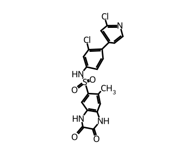 Cc1cc2[nH]c(=O)c(=O)[nH]c2cc1S(=O)(=O)Nc1ccc(-c2ccnc(Cl)c2)c(Cl)c1